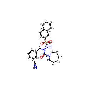 N#Cc1cccc(CN(NS(=O)(=O)c2ccc3ccccc3c2)C(=O)N2CCCCCC2)c1